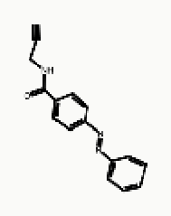 C#CCNC(=O)c1ccc(/N=N/c2ccccc2)cc1